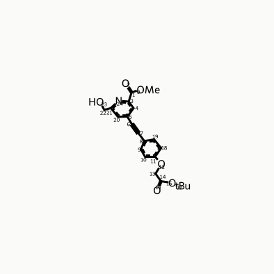 COC(=O)c1cc(C#Cc2ccc(OCC(=O)OC(C)(C)C)cc2)cc(CO)n1